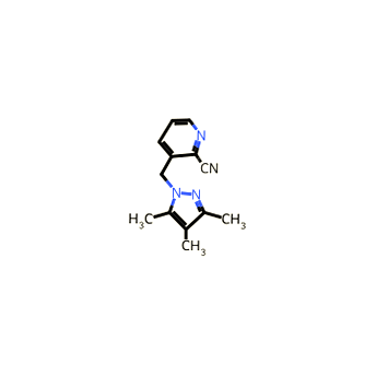 Cc1nn(Cc2cccnc2C#N)c(C)c1C